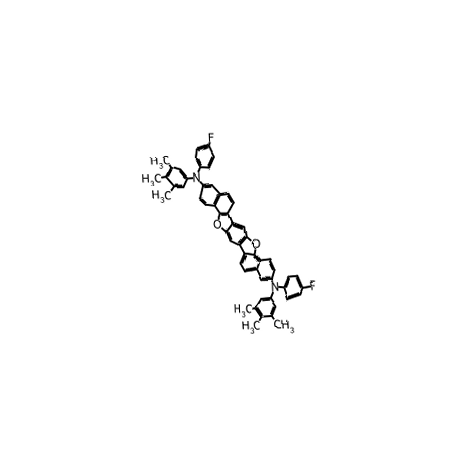 Cc1cc(N(c2ccc(F)cc2)c2ccc3c(ccc4c5cc6oc7c8ccc(N(c9ccc(F)cc9)c9cc(C)c(C)c(C)c9)cc8ccc7c6cc5oc34)c2)cc(C)c1C